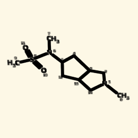 CN1CC2CC(N(C)S(C)(=O)=O)CC2C1